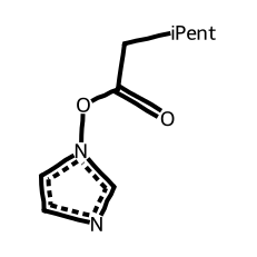 CCCC(C)CC(=O)On1ccnc1